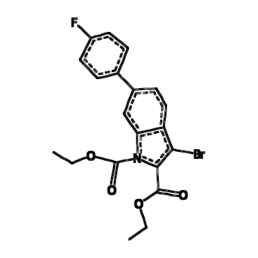 CCOC(=O)c1c(Br)c2ccc(-c3ccc(F)cc3)cc2n1C(=O)OCC